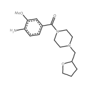 COc1cc(C(=O)N2CCN(CC3CCCO3)CC2)ccc1N